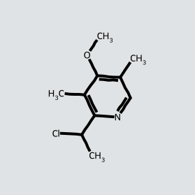 COc1c(C)cnc(C(C)Cl)c1C